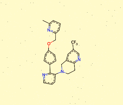 Cc1cccc(COc2ccc(-c3ncccc3N3CCc4ncc(C(F)(F)F)cc4C3)cc2)n1